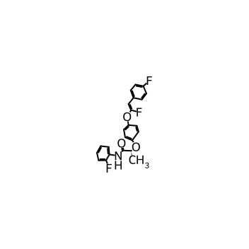 C[C@@H](Oc1ccc(O/C(F)=C/c2ccc(F)cc2)cc1)C(=O)Nc1ccccc1F